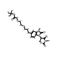 CN1C(=O)CCC(n2c(=O)n(C)c3cc(CCCOCCOCC(=O)OC(C)(C)C)ccc32)C1=O